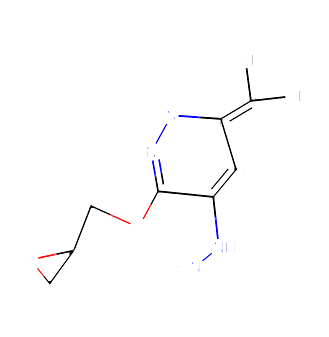 CC(C)=C1C=C(NN)C(OCC2CO2)=NN1